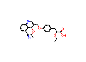 CCOC(Cc1ccc(OCc2cnc3cccc(C#N)c3c2OC(C)C)cc1)C(=O)O